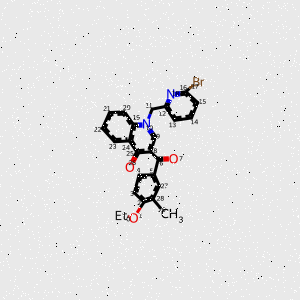 CCOc1ccc(C(=O)c2cn(Cc3cccc(Br)n3)c3ccccc3c2=O)cc1C